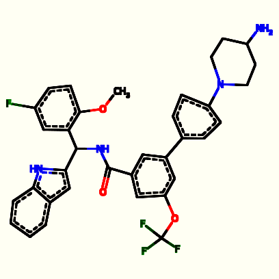 COc1ccc(F)cc1C(NC(=O)c1cc(OC(F)(F)F)cc(-c2ccc(N3CCC(N)CC3)cc2)c1)c1cc2ccccc2[nH]1